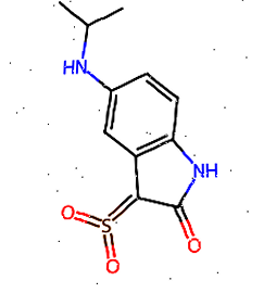 CC(C)Nc1ccc2c(c1)C(=S(=O)=O)C(=O)N2